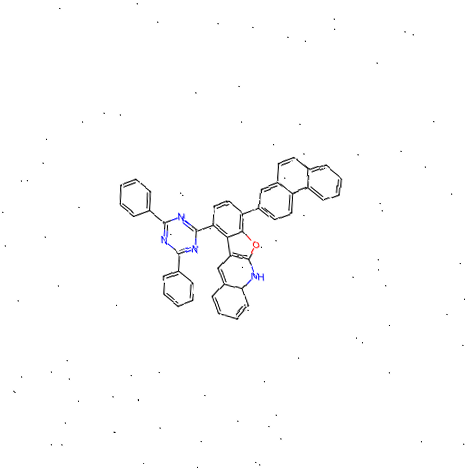 C1=CC2=Cc3c(oc4c(-c5ccc6c(ccc7ccccc76)c5)ccc(-c5nc(-c6ccccc6)nc(-c6ccccc6)n5)c34)NC2C=C1